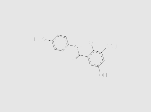 O=C(Nc1ccc(S(=O)(=O)O)cc1)c1cc(O)cc(S(=O)(=O)O)c1O